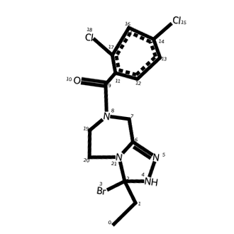 CCC1(Br)NN=C2CN(C(=O)c3ccc(Cl)cc3Cl)CCN21